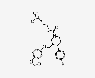 O=C(SCCO[N+](=O)[O-])N1CC[C@@H](c2ccc(F)cc2)C(COc2ccc3c(c2)OCO3)C1